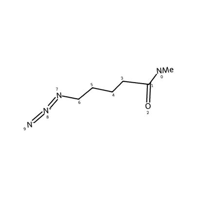 CNC(=O)CCCCN=[N+]=[N-]